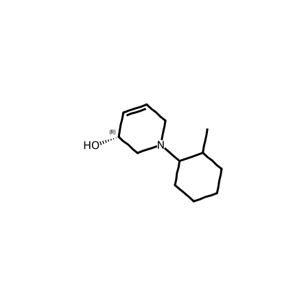 CC1CCCCC1N1CC=C[C@@H](O)C1